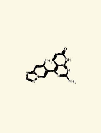 Cc1cc2ncnn2cc1-c1nc(N)nc2[nH]c(=O)ccc12